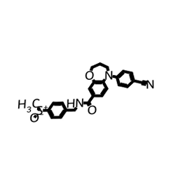 C[S+]([O-])c1ccc(CNC(=O)c2ccc3c(c2)OCCCN3c2ccc(C#N)cc2)cc1